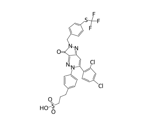 O=c1c2nn(-c3ccc(CCCS(=O)(=O)O)cc3)c(-c3ccc(Cl)cc3Cl)cc-2nn1Cc1ccc(SC(F)(F)F)cc1